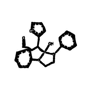 O=CCC(c1ccco1)[P]1(O)N(c2ccccc2)CCN1c1ccccc1